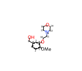 COc1ccc(CO)cc1OCCN1CCOCC1